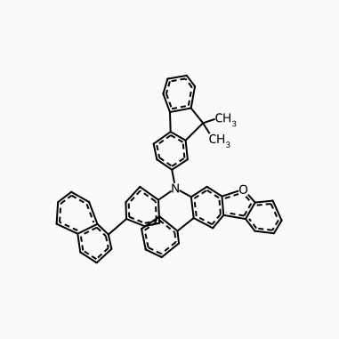 CC1(C)c2ccccc2-c2ccc(N(c3ccc(-c4cccc5ccccc45)cc3)c3cc4oc5ccccc5c4cc3-c3ccccc3)cc21